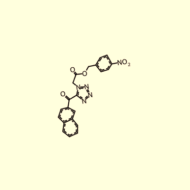 O=C(Cn1nnnc1C(=O)c1ccc2ccccc2c1)OCc1ccc([N+](=O)[O-])cc1